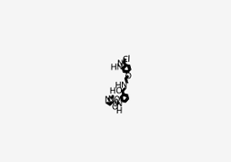 Cn1nccc1S(=O)(=O)Nc1cccc([C@@H](O)CNCCOc2ccc3c(Cl)n[nH]c3c2)c1